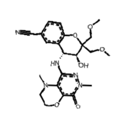 COCC1(COC)Oc2ccc(C#N)cc2[C@@H](Nc2nn(C)c(=O)c3c2N(C)CCO3)[C@@H]1O